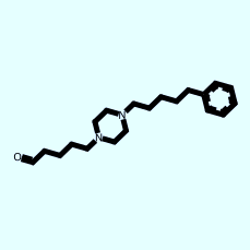 O=[C]CCCCN1CCN(CCCCCc2ccccc2)CC1